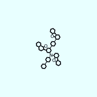 c1ccc(-c2ccc(N(c3cc(-c4ccc(-c5cccc6c5oc5ccccc56)cc4)c4oc5c6ccccc6ccc5c4c3)c3cccc4c3oc3ccccc34)cc2)cc1